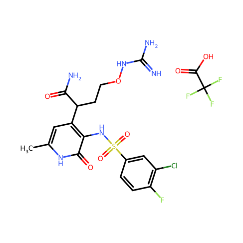 Cc1cc(C(CCONC(=N)N)C(N)=O)c(NS(=O)(=O)c2ccc(F)c(Cl)c2)c(=O)[nH]1.O=C(O)C(F)(F)F